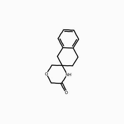 O=C1COCC2(CCc3ccccc3C2)N1